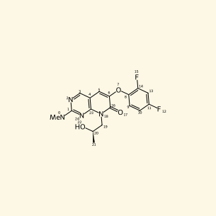 CNc1ncc2cc(Oc3ccc(F)cc3F)c(=O)n(C[C@@H](C)O)c2n1